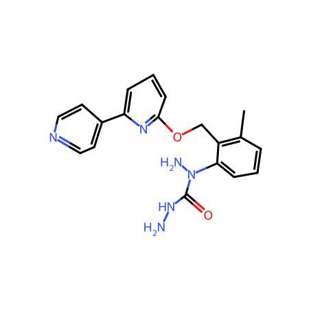 Cc1cccc(N(N)C(=O)NN)c1COc1cccc(-c2ccncc2)n1